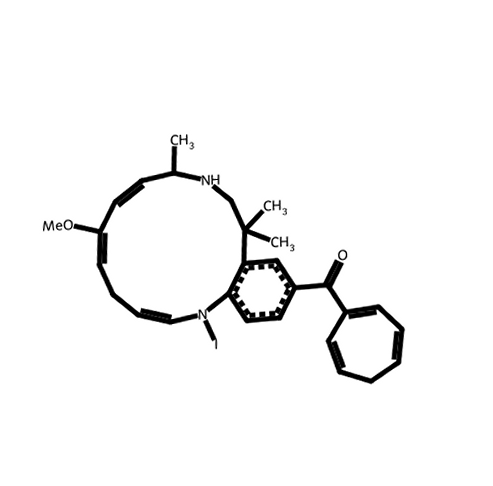 COC1=C/C/C=C\N(I)c2ccc(C(=O)C3=CC=CCC=C3)cc2C(C)(C)CNC(C)/C=C\1